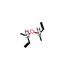 C=C[SiH](C)O[SiH](C)C=C